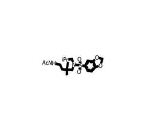 CC(=O)NCCC(C)(C)CN(CC(C)C)S(=O)(=O)c1ccc2c(c1)OCO2